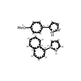 COc1ccc(-c2ccn[nH]2)cc1.c1ccc2c(-n3cccn3)cccc2c1